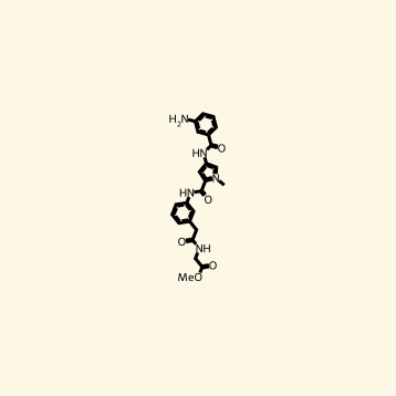 COC(=O)CNC(=O)Cc1cccc(NC(=O)c2cc(NC(=O)c3cccc(N)c3)cn2C)c1